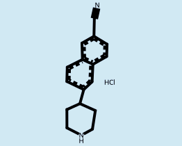 Cl.N#Cc1ccc2cc(C3CCNCC3)ccc2c1